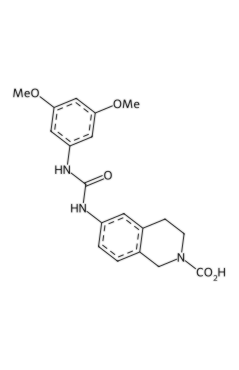 COc1cc(NC(=O)Nc2ccc3c(c2)CCN(C(=O)O)C3)cc(OC)c1